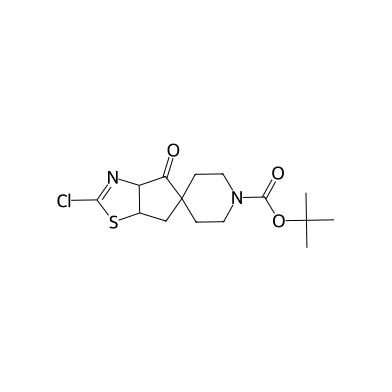 CC(C)(C)OC(=O)N1CCC2(CC1)CC1SC(Cl)=NC1C2=O